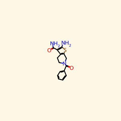 NC(=O)c1c(N)sc2c1CCN(C(=O)c1ccccc1)C2